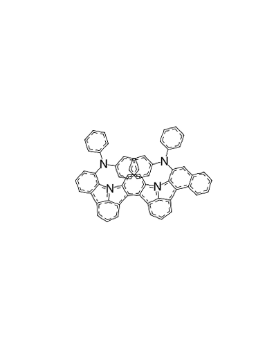 c1ccc(N(c2ccccc2)c2cccc3c4cccc5c6c7c8cccc9c%10c%11ccccc%11cc(N(c%11ccccc%11)c%11ccccc%11)c%10n(c7ccc6n(c23)c45)c89)cc1